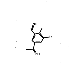 CCc1cc(C(C)=N)cc(C=N)c1C